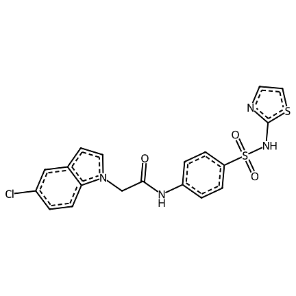 O=C(Cn1ccc2cc(Cl)ccc21)Nc1ccc(S(=O)(=O)Nc2nccs2)cc1